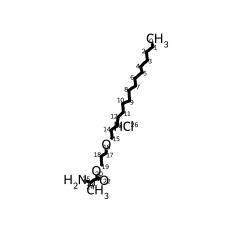 CCCCCCCCCCCCCCCCOCCCOC(=O)[C@H](C)N.Cl